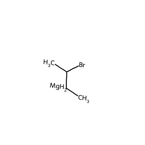 CCC(C)Br.[MgH2]